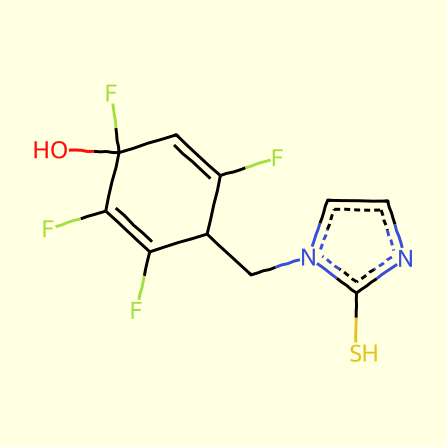 OC1(F)C=C(F)C(Cn2ccnc2S)C(F)=C1F